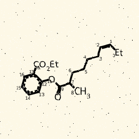 CC/C=C\CCCCC(C)C(=O)Oc1ccccc1C(=O)OCC